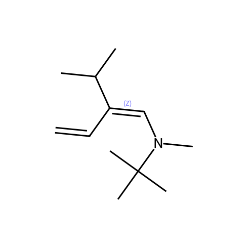 C=C/C(=C\N(C)C(C)(C)C)C(C)C